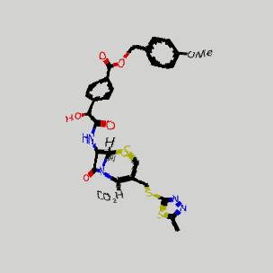 COc1ccc(COC(=O)c2ccc(C(O)C(=O)NC3C(=O)N4C(C(=O)O)=C(CSc5nnc(C)s5)CS[C@H]34)cc2)cc1